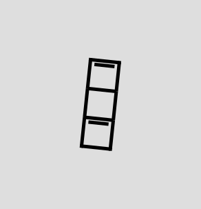 C1=CC2C3=C(CC3)C12